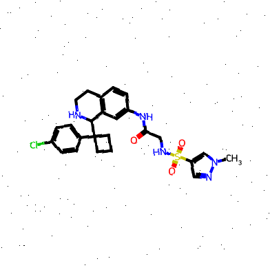 Cn1cc(S(=O)(=O)NCC(=O)Nc2ccc3c(c2)C(C2(c4ccc(Cl)cc4)CCC2)NCC3)cn1